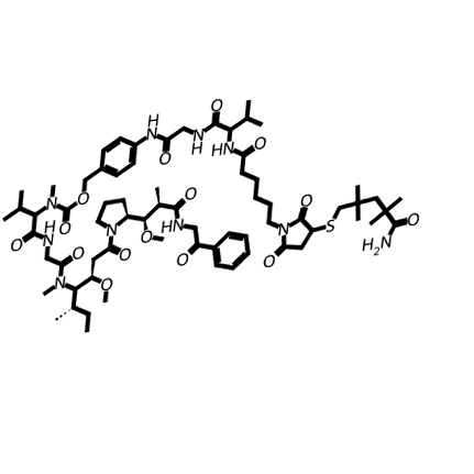 CC[C@H](C)C([C@@H](CC(=O)N1CCC[C@H]1[C@H](OC)[C@@H](C)C(=O)NCC(=O)c1ccccc1)OC)N(C)C(=O)CNC(=O)C(C(C)C)N(C)C(=O)OCc1ccc(NC(=O)CNC(=O)C(NC(=O)CCCCCN2C(=O)CC(SCC(C)(C)CC(C)(C)C(N)=O)C2=O)C(C)C)cc1